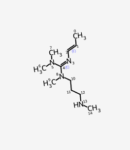 C/C=C/N=C(\N(C)C)N(C)CCCNC